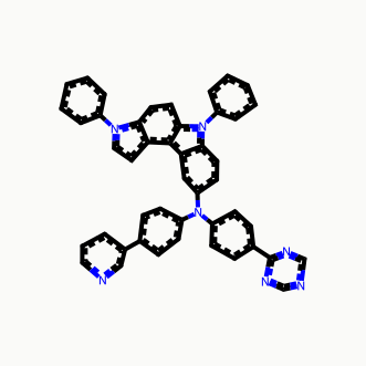 c1ccc(-n2ccc3c4c5cc(N(c6ccc(-c7cccnc7)cc6)c6ccc(-c7ncncn7)cc6)ccc5n(-c5ccccc5)c4ccc32)cc1